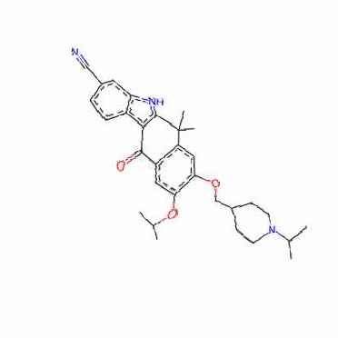 CC(C)Oc1cc2c(cc1OCC1CCN(C(C)C)CC1)C(C)(C)c1[nH]c3cc(C#N)ccc3c1C2=O